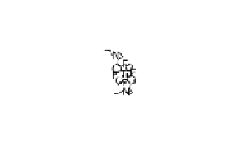 C=CCN1CCC1c1ccc(F)[c]([Ti]([c]2c(F)ccc(C3CCN3CC=C)c2F)([CH]2C=CC=C2)[CH]2C=CC=C2)c1F